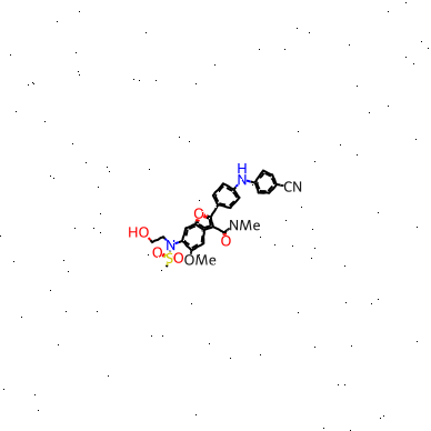 CNC(=O)c1c(-c2ccc(Nc3ccc(C#N)cc3)cc2)oc2cc(N(CCO)S(C)(=O)=O)c(OC)cc12